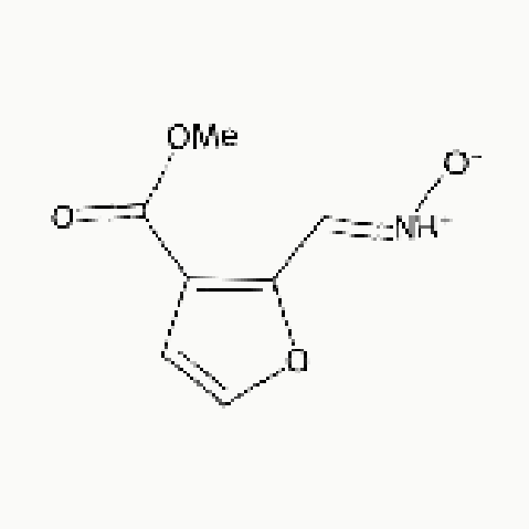 COC(=O)c1ccoc1C=[NH+][O-]